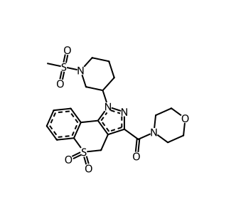 CS(=O)(=O)N1CCCC(n2nc(C(=O)N3CCOCC3)c3c2-c2ccccc2S(=O)(=O)C3)C1